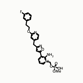 COP(=O)(O)OC[n+]1cccc(-c2cc(Cc3ccnc(OCCc4cccc(F)c4)c3)no2)c1N